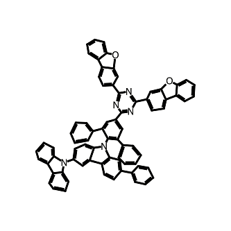 c1ccc(-c2ccc3c4cc(-n5c6ccccc6c6ccccc65)ccc4n(-c4c(-c5ccccc5)cc(-c5nc(-c6ccc7c(c6)oc6ccccc67)nc(-c6ccc7c(c6)oc6ccccc67)n5)cc4-c4ccccc4)c3c2)cc1